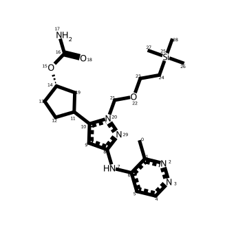 Cc1nnccc1Nc1cc(C2CC[C@H](OC(N)=O)C2)n(COCC[Si](C)(C)C)n1